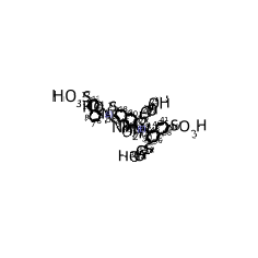 Nc1c(/N=N/c2cccc3cc(S(=O)(=O)O)ccc23)c(S(=O)(=O)O)cc2cc(SOOO)c(/N=N/c3cc(SOOO)cc4cc(S(=O)(=O)O)ccc34)c(O)c12